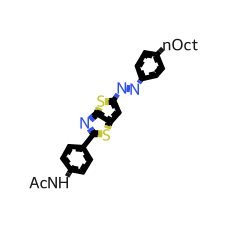 CCCCCCCCc1ccc(N=Nc2cc3sc(-c4ccc(NC(C)=O)cc4)nc3s2)cc1